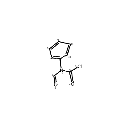 O=CN(C(=O)Cl)c1ccccc1